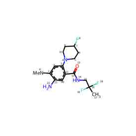 CNc1cc(N2CCC(F)CC2)c(C(=O)NCC(C)(F)F)cc1N